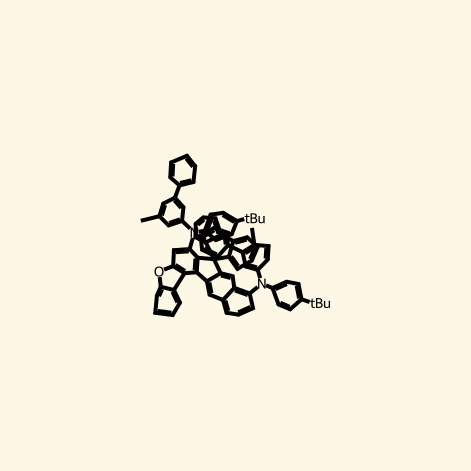 Cc1cc(-c2ccccc2)cc(N(c2ccc(C(C)(C)C)cc2)c2cc3oc4ccccc4c3c3c2C2(c4ccccc4-c4ccccc42)c2cc4c(N(c5ccc(C(C)(C)C)cc5)c5ccc(C)c(-c6ccccc6)c5)cccc4cc2-3)c1